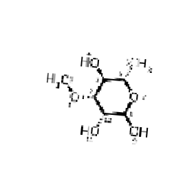 CO[C@@H]1[C@@H](O)[C@H](C)OC(O)[C@@H]1O